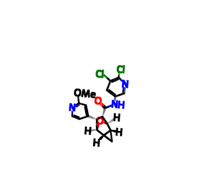 COc1cc([C@H]2[C@H]3O[C@H]([C@@H]4C[C@@H]43)[C@H]2C(=O)Nc2cnc(Cl)c(Cl)c2)ccn1